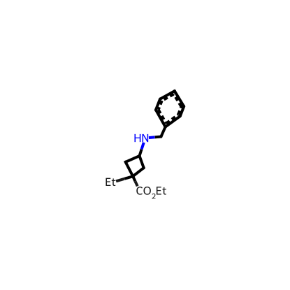 CCOC(=O)C1(CC)CC(NCc2ccccc2)C1